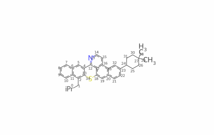 CC(C)Cc1c2c(cc3ccccc13)-c1nccc3c1c(cc1ccc(C4CCC(C)(C)CC4)cc13)S2